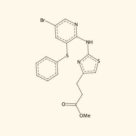 COC(=O)CCc1csc(Nc2ncc(Br)cc2Sc2ccccc2)n1